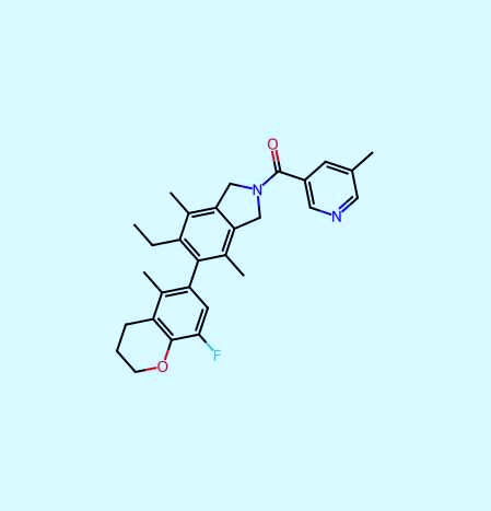 CCc1c(C)c2c(c(C)c1-c1cc(F)c3c(c1C)CCCO3)CN(C(=O)c1cncc(C)c1)C2